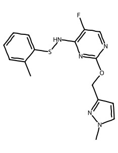 Cc1ccccc1SNc1nc(OCc2ccn(C)n2)ncc1F